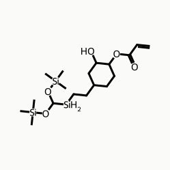 C=CC(=O)OC1CCC(CC[SiH2]C(O[Si](C)(C)C)O[Si](C)(C)C)CC1O